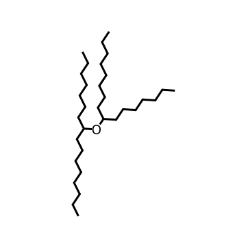 CCCCCCCCC(CCCCCCC)OC(CCCCCCC)CCCCCCCC